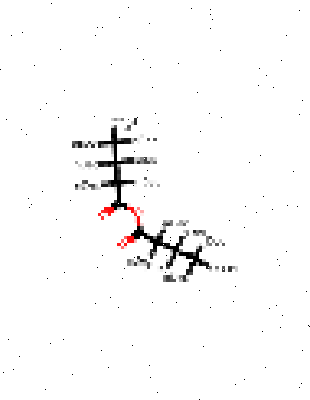 CCCCCCCCCCC(CCCCCCCCCC)(C(=O)O)C(CCCCCCCCCC)(CCCCCCCCCC)C(CCCCCCCCCC)(CCCCCCCCCC)C(=O)OC(=O)C(CCCCCCCCCC)(CCCCCCCCCC)C(CCCCCCCCCC)(CCCCCCCCCC)C(CCCCCCCCCC)(CCCCCCCCCC)C(=O)O